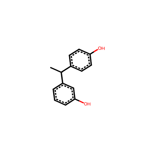 C[C](c1ccc(O)cc1)c1cccc(O)c1